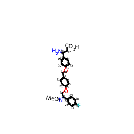 CO/N=C(\COC1C=CC(COc2ccc(C(N)CC(=O)O)cc2)=CC1)c1ccc(F)cc1